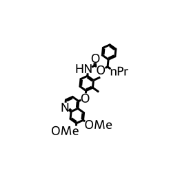 CCCC(OC(=O)Nc1ccc(Oc2ccnc3cc(OC)c(OC)cc23)c(C)c1C)c1ccccc1